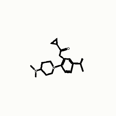 CC(C)c1ccc(N2CCC(N(C)C)CC2)c(CC(=O)C2CC2)c1